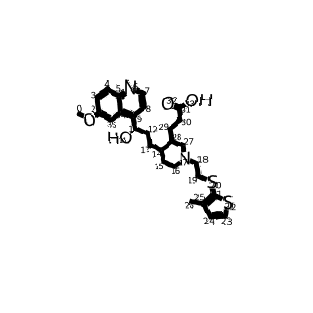 COc1ccc2nccc([C@@H](O)CCC3CCN(CCSc4sccc4C)CC3CCC(=O)O)c2c1